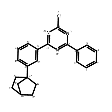 Clc1nc(-c2ccccc2)nc(-c2cccc(C34CCC(CC3)C4)c2)n1